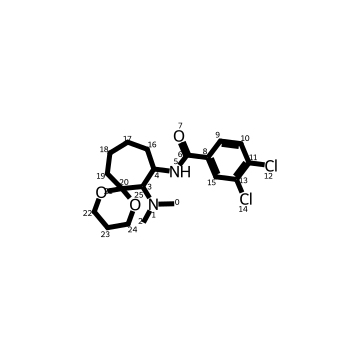 CN(C)C1C(NC(=O)c2ccc(Cl)c(Cl)c2)CCCCC12OCCCO2